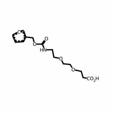 O=C(O)CCOCCOCCNC(=O)OCc1ccccc1